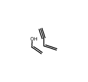 C#CC=C.C=CO